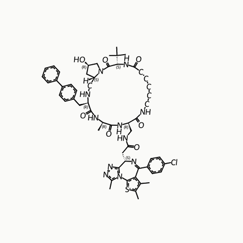 Cc1sc2c(c1C)C(c1ccc(Cl)cc1)=N[C@@H](CC(=O)NC[C@H]1NC(=O)[C@@H](C)NC(=O)[C@@H](Cc3ccc(-c4ccccc4)cc3)NC[C@@H]3C[C@@H](O)CN3C(=O)[C@H](C(C)(C)C)NC(=O)CCCCCNC1=O)c1nnc(C)n1-2